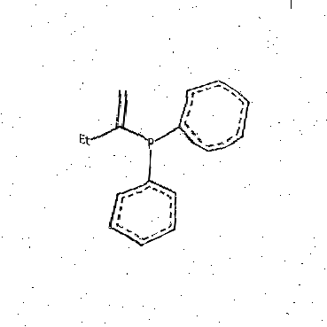 C=C(CC)P(c1ccccc1)c1ccccc1